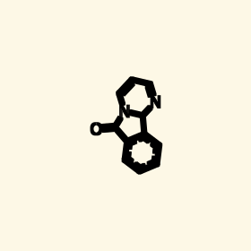 O=C1c2ccccc2C2N=CC=CN12